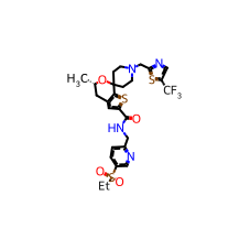 CCS(=O)(=O)c1ccc(CNC(=O)c2cc3c(s2)C2(CCN(Cc4ncc(C(F)(F)F)s4)CC2)O[C@@H](C)C3)nc1